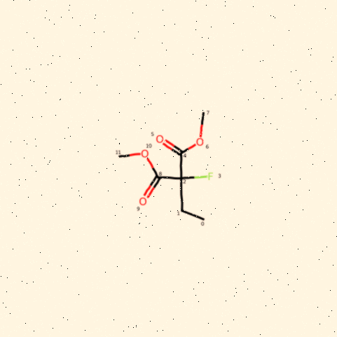 CCC(F)(C(=O)OC)C(=O)OC